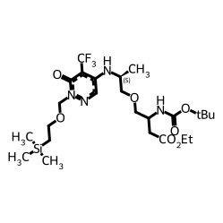 CCOC(=O)CC(COC[C@H](C)Nc1cnn(COCC[Si](C)(C)C)c(=O)c1C(F)(F)F)NC(=O)OC(C)(C)C